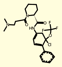 CN(C)CCC(=O)N1CCCC[C@@H]1C(=O)NC1=CC=C(c2ccccc2)C(Cl)(OC(F)(F)F)C1